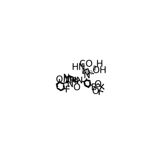 COc1cccc(F)c1-c1nccc(C(=O)Nc2ccc(B3OC(C)(C)C(C)(C)O3)cc2N2C[C@@H](NC(=O)O)C[C@H]2CO)n1